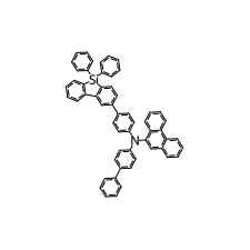 c1ccc(-c2ccc(N(c3ccc(-c4ccc5c(c4)-c4ccccc4[Si]5(c4ccccc4)c4ccccc4)cc3)c3cc4ccccc4c4ccccc34)cc2)cc1